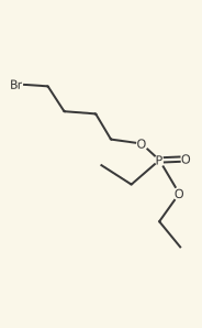 CCOP(=O)(CC)OCCCCBr